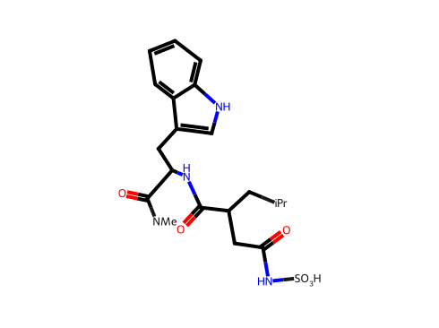 CNC(=O)C(Cc1c[nH]c2ccccc12)NC(=O)C(CC(=O)NS(=O)(=O)O)CC(C)C